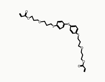 C=CC(=O)OCCCOCCCSc1ccc(Sc2ccc(SCCCOCCCOC(=O)C=C)cc2)cc1